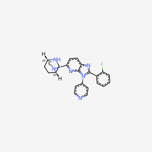 Fc1ccccc1-c1nc2ccc(N3C[C@@H]4CC[C@H]3CN4)nc2n1-c1ccncc1